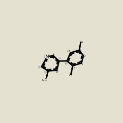 Cc1ccc(C)c(-c2cncc(F)c2)c1